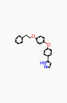 c1ccc(CCOc2ccc(Oc3ccc(-c4ccn[nH]4)cc3)cc2)cc1